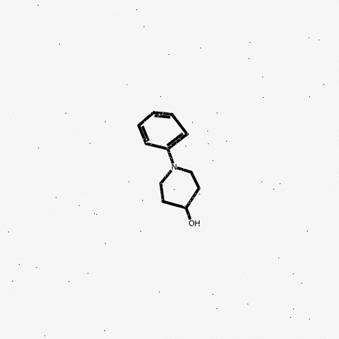 OC1CCN(c2ccccc2)CC1